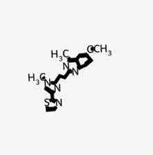 COc1ccc2nc(CCc3nc(-c4nccs4)cn3C)nc(C)c2c1